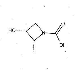 C[C@@H]1[C@H](O)CN1C(=O)O